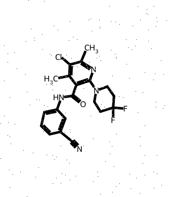 Cc1nc(N2CCC(F)(F)CC2)c(C(=O)Nc2cccc(C#N)c2)c(C)c1Cl